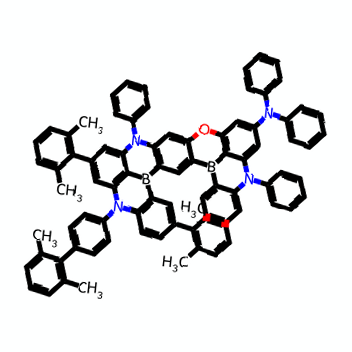 Cc1cccc(C)c1-c1ccc(N2c3ccc(-c4c(C)cccc4C)cc3B3c4cc5c(cc4N(c4ccccc4)c4cc(-c6c(C)cccc6C)cc2c43)Oc2cc(N(c3ccccc3)c3ccccc3)cc3c2B5c2ccccc2N3c2ccccc2)cc1